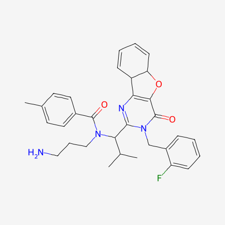 Cc1ccc(C(=O)N(CCCN)C(c2nc3c(c(=O)n2Cc2ccccc2F)OC2C=CC=CC32)C(C)C)cc1